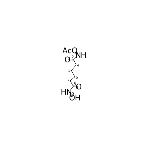 CC(=O)ONC(=O)CCCCC(=O)NO